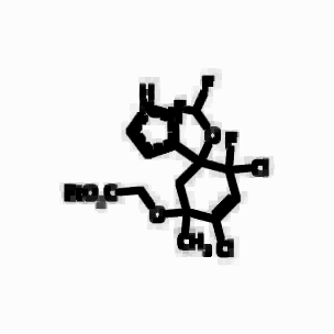 CCOC(=O)COC1(C)CC(OC(F)F)(c2cc[nH]n2)C(F)(Cl)C=C1Cl